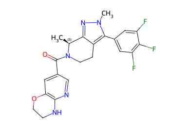 C[C@H]1c2nn(C)c(-c3cc(F)c(F)c(F)c3)c2CCN1C(=O)c1cnc2c(c1)OCCN2